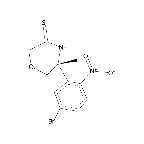 C[C@@]1(c2cc(Br)ccc2[N+](=O)[O-])COCC(=S)N1